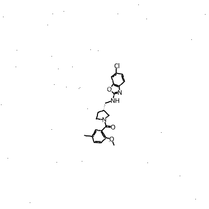 COc1ccc(C)cc1C(=O)N1CC[C@H](CNc2nc3ccc(Cl)cc3o2)C1